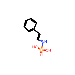 O=P(O)(O)NC=Cc1ccccc1